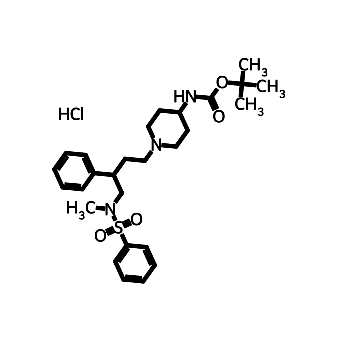 CN(CC(CCN1CCC(NC(=O)OC(C)(C)C)CC1)c1ccccc1)S(=O)(=O)c1ccccc1.Cl